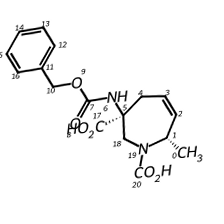 C[C@H]1C=CC[C@@](NC(=O)OCc2ccccc2)(C(=O)O)CN1C(=O)O